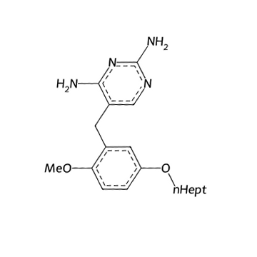 CCCCCCCOc1ccc(OC)c(Cc2cnc(N)nc2N)c1